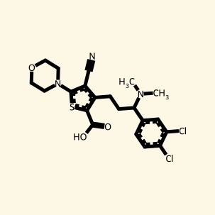 CN(C)C(CCc1c(C(=O)O)sc(N2CCOCC2)c1C#N)c1ccc(Cl)c(Cl)c1